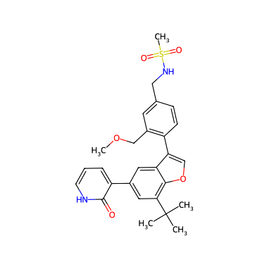 COCc1cc(CNS(C)(=O)=O)ccc1-c1coc2c(C(C)(C)C)cc(-c3ccc[nH]c3=O)cc12